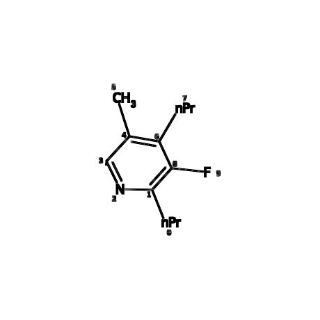 CCCc1n[c]c(C)c(CCC)c1F